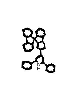 CC1CC=C(C2=CC(c3ccccc3)NC(c3ccccc3)=C2)C=C1C1(c2ccccc2)c2ccccc2-c2ccccc21